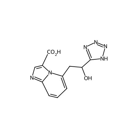 O=C(O)c1cnc2cccc(CC(O)c3nnn[nH]3)n12